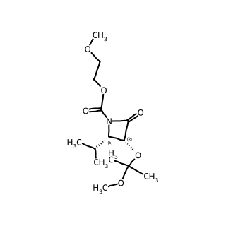 COCCOC(=O)N1C(=O)[C@H](OC(C)(C)OC)[C@@H]1C(C)C